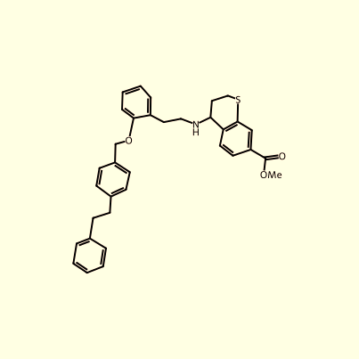 COC(=O)c1ccc2c(c1)SCCC2NCCc1ccccc1OCc1ccc(CCc2ccccc2)cc1